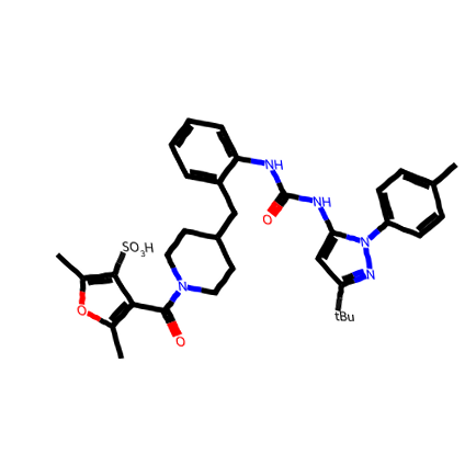 Cc1ccc(-n2nc(C(C)(C)C)cc2NC(=O)Nc2ccccc2CC2CCN(C(=O)c3c(C)oc(C)c3S(=O)(=O)O)CC2)cc1